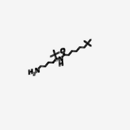 CC(C)(C)CCCCCC(=O)N[C@@H](CCCCN)C(C)(C)C